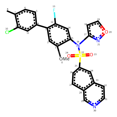 COc1cc(-c2ccc(C)c(Cl)c2)c(F)cc1N(c1ccon1)S(=O)(=O)c1ccc2cnccc2c1